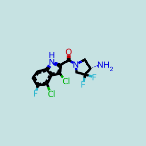 N[C@H]1CN(C(=O)c2[nH]c3ccc(F)c(Cl)c3c2Cl)CC1(F)F